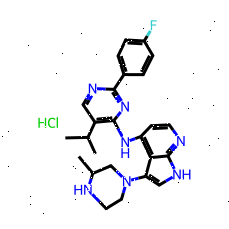 CC1CN(c2c[nH]c3nccc(Nc4nc(-c5ccc(F)cc5)ncc4C(C)C)c23)CCN1.Cl